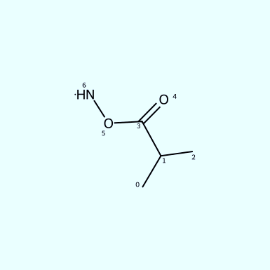 CC(C)C(=O)O[NH]